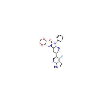 O=c1n(C[C@H]2COCCO2)c2cc(-c3cnc4[nH]ccc4c3F)cnc2n1-c1ccccc1